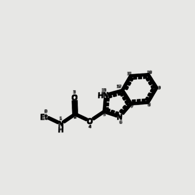 CCNC(=O)Oc1nc2ccccc2[nH]1